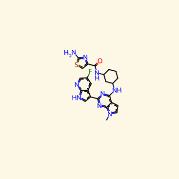 Cn1ccc2c(NC3CCCC(NC(=O)c4csc(N)n4)C3)nc(-c3c[nH]c4ncc(F)cc34)nc21